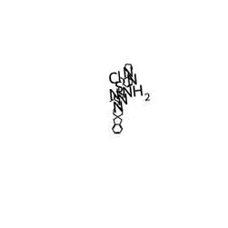 Cc1nc(Sc2ccnc(N3CCCC3)c2Cl)c(N)nc1N1CCC2(CC1)Cc1ccccc1C2